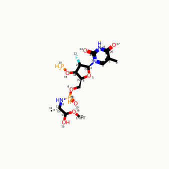 Cc1cn([C@H]2O[C@@H](CO[P@H](=O)N[C@@H](C)C(O)OC(C)C)C(OP)C2F)c(=O)[nH]c1=O